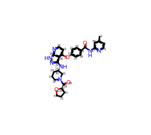 Cc1ccnc(NC(=O)c2ccc(Oc3ccnc4[nH]nc(N[C@@H]5CCCN(C(=O)[C@H]6CCCO6)C5)c34)cc2)c1